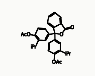 CC(=O)Oc1ccc(C2(c3ccc(OC(C)=O)c(C(C)C)c3)OC(=O)c3ccccc32)cc1C(C)C